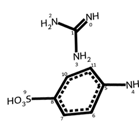 N=C(N)N.Nc1ccc(S(=O)(=O)O)cc1